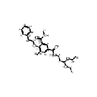 CCOC(CCNC(=O)c1cc(C)c(OCCc2ccccc2)c(C(=O)NC)c1)OCC